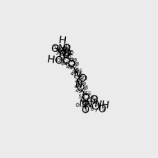 Cn1c(=O)n(C2CCC(=O)NC2=O)c2ccc(C3CCN(CC(=O)N4CC(c5ccc6c(F)c(N7CC(=O)NS7(=O)=O)c(O)cc6c5)C4)CC3)cc21